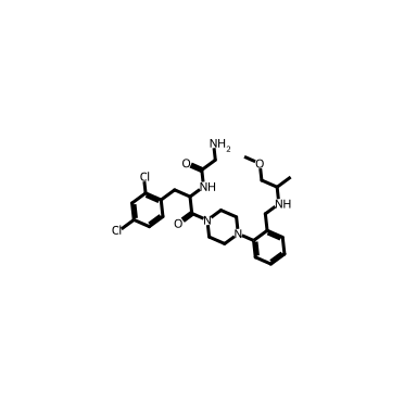 COCC(C)NCc1ccccc1N1CCN(C(=O)C(Cc2ccc(Cl)cc2Cl)NC(=O)CN)CC1